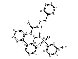 O=C(NCCc1ccccn1)Oc1ccccc1-c1ccccc1CNS(=O)(=O)c1cccc(F)c1